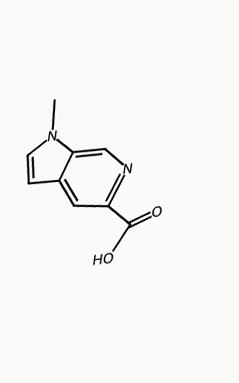 Cn1ccc2cc(C(=O)O)ncc21